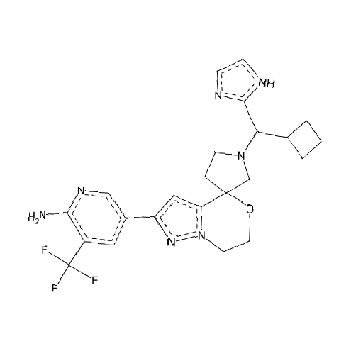 Nc1ncc(-c2cc3n(n2)CCOC32CCN(C(c3ncc[nH]3)C3CCC3)C2)cc1C(F)(F)F